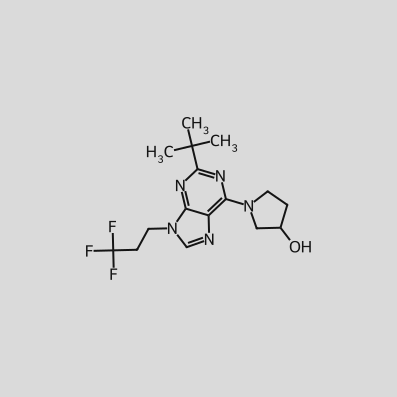 CC(C)(C)c1nc(N2CCC(O)C2)c2ncn(CCC(F)(F)F)c2n1